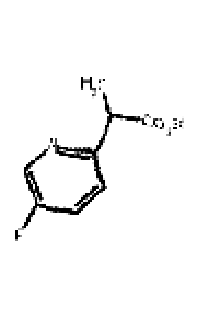 CCOC(=O)C(C)c1ccc(F)cn1